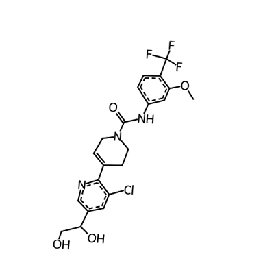 COc1cc(NC(=O)N2CC=C(c3ncc(C(O)CO)cc3Cl)CC2)ccc1C(F)(F)F